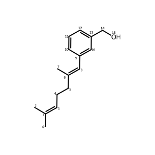 CC(C)=CCC/C(C)=C/c1cccc(CO)c1